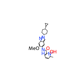 COc1cc2nn([C@H]3CC[C@H](C4CC4)CC3)cc2cc1NC(=O)c1cccc(C)[n+]1O